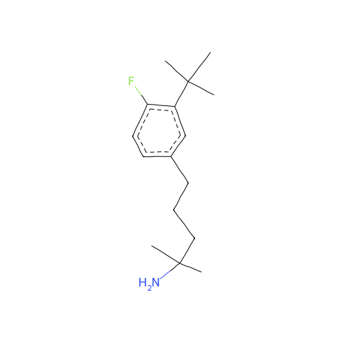 CC(C)(N)CCCc1ccc(F)c(C(C)(C)C)c1